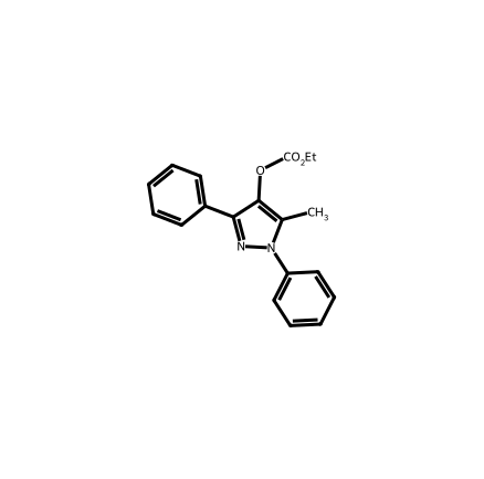 CCOC(=O)Oc1c(-c2ccccc2)nn(-c2ccccc2)c1C